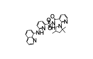 CC1CN(c2ncccc2C(=O)NS(=O)(=O)c2cccc(Nc3cccc4cccnc34)n2)C(C)(C)C1